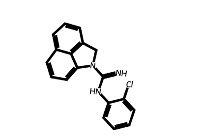 N=C(Nc1ccccc1Cl)N1Cc2cccc3cccc1c23